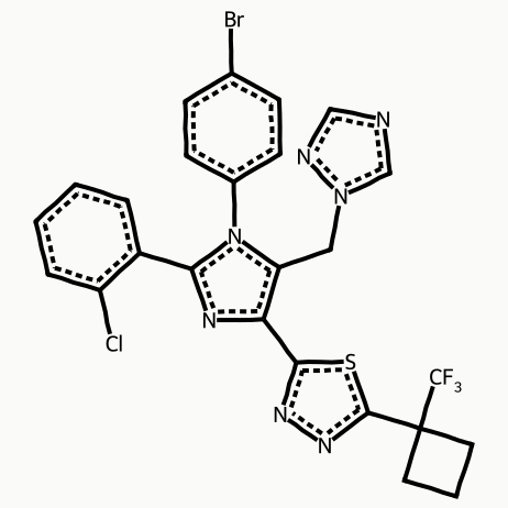 FC(F)(F)C1(c2nnc(-c3nc(-c4ccccc4Cl)n(-c4ccc(Br)cc4)c3Cn3cncn3)s2)CCC1